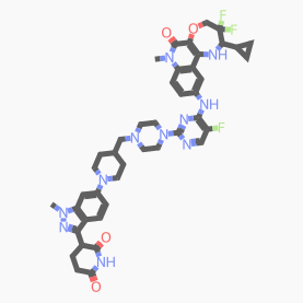 Cn1nc(C2CCC(=O)NC2=O)c2ccc(N3CCC(CN4CCN(c5ncc(F)c(Nc6ccc7c(c6)c6c(c(=O)n7C)OCC(F)(F)C(C7CC7)N6)n5)CC4)CC3)cc21